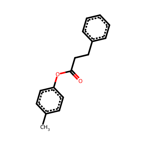 Cc1ccc(OC(=O)CCc2ccccc2)cc1